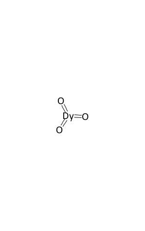 [O]=[Dy](=[O])=[O]